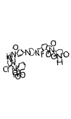 COc1cc(N2CCC(N(C)Cc3ccc4c(c3F)C(=O)N(C3CCC(=O)NC3=O)C4=O)CC2)ccc1Nc1ncc(Cl)c(Nc2ccccc2P(=O)(OC)OC)n1